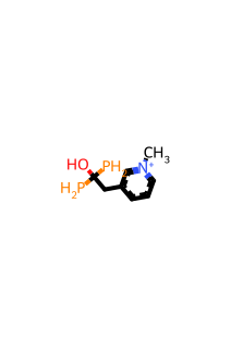 C[n+]1cccc(CC(O)(P)P)c1